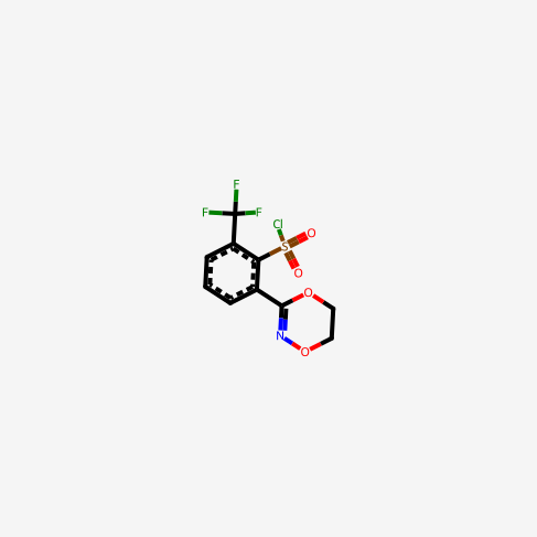 O=S(=O)(Cl)c1c(C2=NOCCO2)cccc1C(F)(F)F